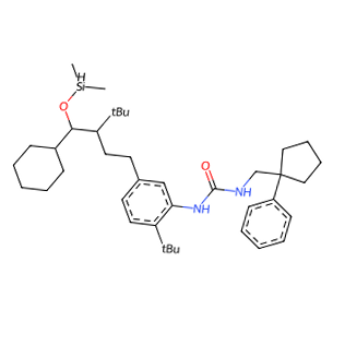 C[SiH](C)OC(C1CCCCC1)C(CCc1ccc(C(C)(C)C)c(NC(=O)NCC2(c3ccccc3)CCCC2)c1)C(C)(C)C